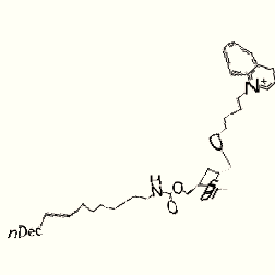 CCCCCCCCCCCCCCCCCCNC(=O)OC[C@H]1C[C@H](COCCCC[n+]2cccc3ccccc32)S1.[Br-]